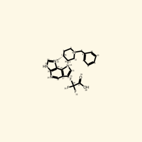 C[C@@H]1CCN(Cc2ccccc2)C[C@@H]1n1ccc2cnc3[nH]cnc3c21.O=C(O)C(F)(F)F